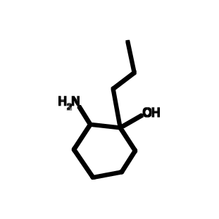 CCCC1(O)CCCCC1N